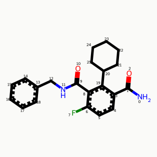 NC(=O)c1ccc(F)c(C(=O)NCc2ccccc2)c1C1CCCCC1